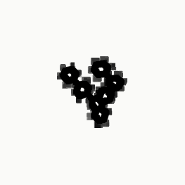 c1ccc(-c2ccc(-c3cc4ccccc4c4ccccc34)cc2)cc1.c1ccc(-c2ccccc2)cc1